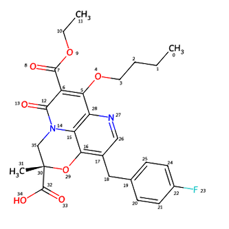 CCCCOc1c(C(=O)OCC)c(=O)n2c3c(c(Cc4ccc(F)cc4)cnc13)O[C@](C)(C(=O)O)C2